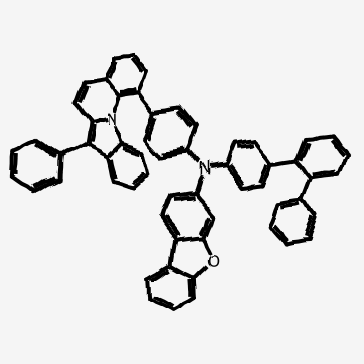 c1ccc(-c2ccccc2-c2ccc(N(c3ccc(-c4cccc5ccc6c(-c7ccccc7)c7ccccc7n6c45)cc3)c3ccc4c(c3)oc3ccccc34)cc2)cc1